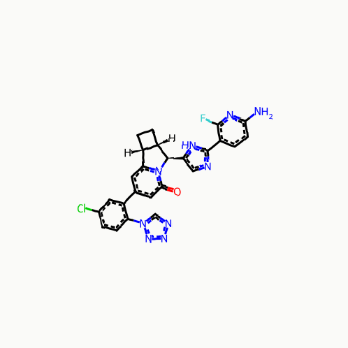 Nc1ccc(-c2ncc([C@@H]3[C@H]4CC[C@H]4c4cc(-c5cc(Cl)ccc5-n5cnnn5)cc(=O)n43)[nH]2)c(F)n1